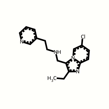 CCc1nc2ccc(Cl)cn2c1CNCCc1cccnc1